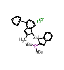 CCCCP(CCCC)C1=Cc2ccccc2[CH]1[Zr+2][CH]1C(C)=Cc2c(-c3ccccc3)cccc21.[Cl-].[Cl-]